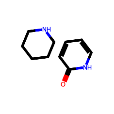 C1CCNCC1.O=c1cccc[nH]1